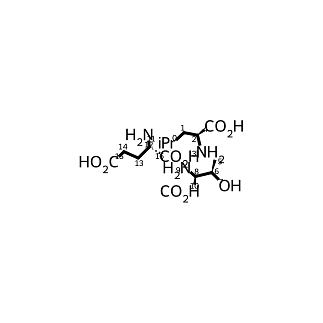 CC(C)C[C@H](N)C(=O)O.C[C@@H](O)[C@H](N)C(=O)O.N[C@@H](CCC(=O)O)C(=O)O